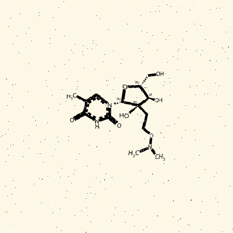 Cc1cn([C@@H]2O[C@H](CO)[C@@H](O)[C@]2(O)CCON(C)C)c(=O)[nH]c1=O